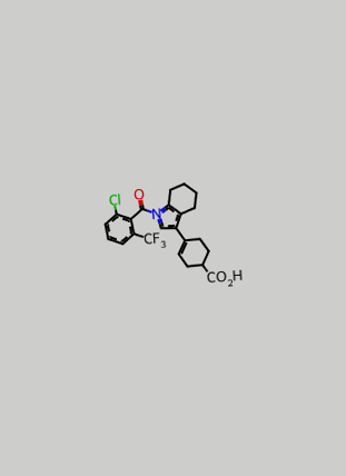 O=C(O)C1CC=C(c2cn(C(=O)c3c(Cl)cccc3C(F)(F)F)c3c2CCCC3)CC1